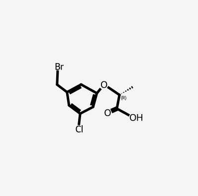 C[C@@H](Oc1cc(Cl)cc(CBr)c1)C(=O)O